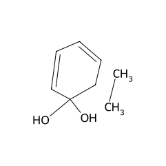 CC.OC1(O)C=CC=CC1